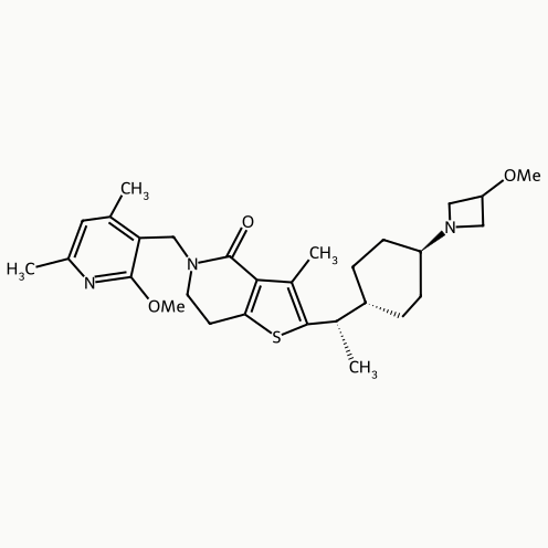 COc1nc(C)cc(C)c1CN1CCc2sc([C@@H](C)[C@H]3CC[C@H](N4CC(OC)C4)CC3)c(C)c2C1=O